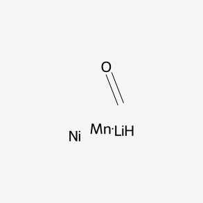 C=O.[LiH].[Mn].[Ni]